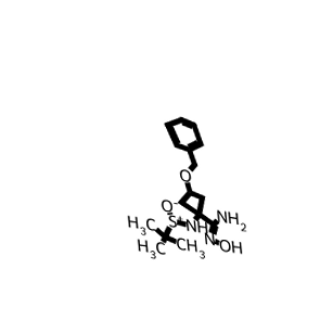 CC(C)(C)[S+]([O-])NC1(/C(N)=N/O)CC(OCc2ccccc2)C1